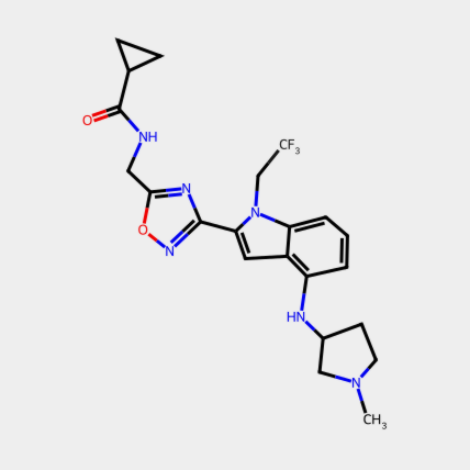 CN1CCC(Nc2cccc3c2cc(-c2noc(CNC(=O)C4CC4)n2)n3CC(F)(F)F)C1